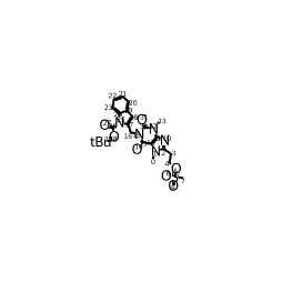 Cn1c(CCOS(C)(=O)=O)nc2c1c(=O)n(Cc1cc3ccccc3n1C(=O)OC(C)(C)C)c(=O)n2C